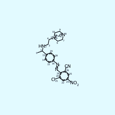 CC(NCC[N+]12CCN(CC1)CC2)c1ccc(N=Nc2c(Cl)cc([N+](=O)[O-])cc2C#N)cc1